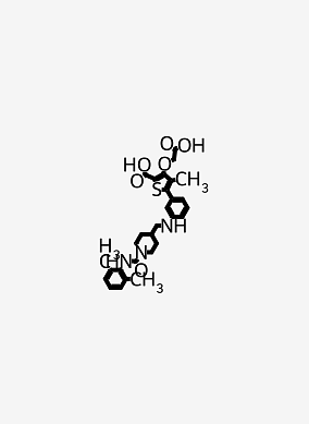 Cc1cccc(C)c1NC(=O)N1CCC(CNc2cccc(-c3sc(C(=O)O)c(OCC(=O)O)c3C)c2)CC1